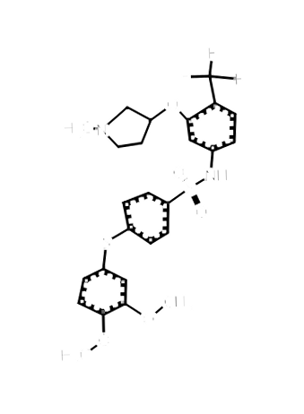 COc1ccc(Sc2ccc(S(=O)(=O)Nc3ccc(C(F)(F)F)c(OC4CCN(C)C4)c3)cc2)cc1OC